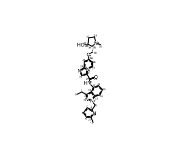 CCc1nn(Cc2cccc(C)n2)c2cccc(NC(=O)c3cnc4cc(OC[C@@H]5[C@@H](O)CCN5C)ccn34)c12